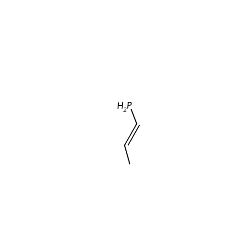 CC=CP